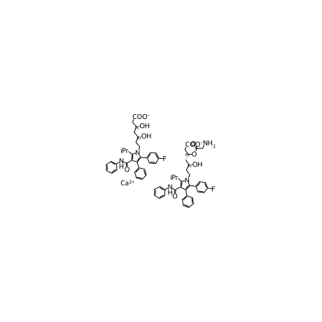 CC(C)c1c(C(=O)Nc2ccccc2)c(-c2ccccc2)c(-c2ccc(F)cc2)n1CC[C@@H](O)C[C@@H](O)CC(=O)[O-].CC(C)c1c(C(=O)Nc2ccccc2)c(-c2ccccc2)c(-c2ccc(F)cc2)n1CC[C@@H](O)C[C@H](CC(=O)[O-])OC(=O)CN.[Ca+2]